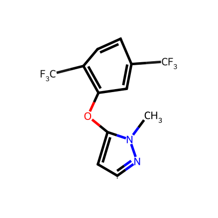 Cn1n[c]cc1Oc1cc(C(F)(F)F)ccc1C(F)(F)F